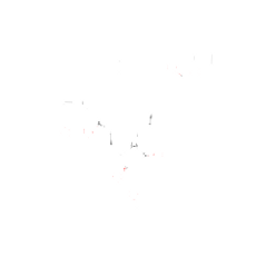 CCCCC(C)[C@@H](C=C[C@@H]1[C@@H](CC=CCCCC(=O)OC)[C@@H](O)C[C@H]1OC1CCCCO1)OC1CCCCO1